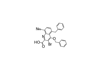 N#Cc1ccc(Cc2ccccc2)c2c(OCc3ccccc3)c(Br)c(C(=O)O)nc12